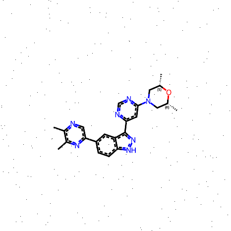 Cc1ncc(-c2ccc3[nH]nc(-c4cc(N5C[C@@H](C)O[C@@H](C)C5)ncn4)c3c2)nc1C